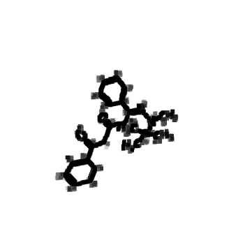 CN(/N=C(\CC(=O)CC(=O)c1ccccc1)c1ccccc1)[Si](C)(C)C